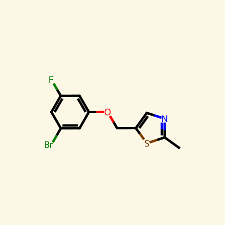 Cc1ncc(COc2cc(F)cc(Br)c2)s1